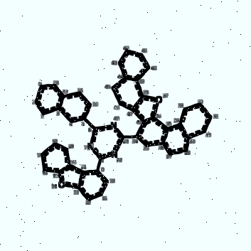 c1ccc2cc(-c3nc(-c4cccc5oc6ccccc6c45)nc(-c4cc5ccc6ccccc6c5c5oc6c7ccccc7ccc6c45)n3)ccc2c1